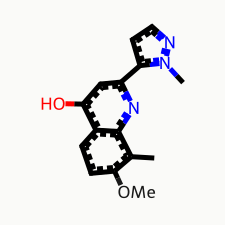 COc1ccc2c(O)cc(-c3ccnn3C)nc2c1C